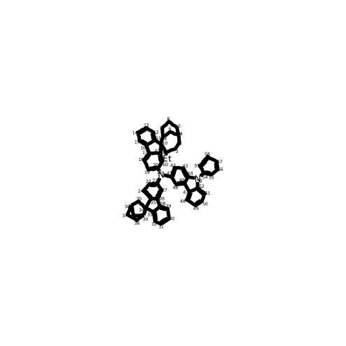 CCC1CCC2CCCC(C2)C12c1ccccc1-c1ccc(N(c3ccc4c(c3)-c3ccccc3C43CC4CCC3C4)c3ccc4c(c3)c3ccccc3n4-c3ccccc3)cc12